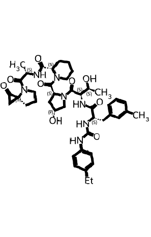 CCc1ccc(NC(=O)N[C@@H](Cc2cccc(C)c2)C(=O)N[C@H](C(=O)N2C[C@H](O)C[C@H]2C(=O)N2CCCC[C@H]2C(=O)N[C@@H](C)C(=O)N2CCC[C@@]23CC3=O)[C@H](C)O)cc1